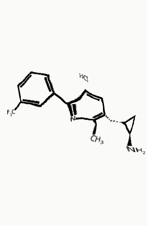 Cc1nc(-c2cccc(C(F)(F)F)c2)ccc1[C@@H]1C[C@H]1N.Cl